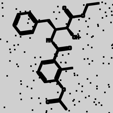 CCOC(=O)[C@@H](O)[C@H](Cc1ccccc1)NC(=O)c1cccc(OC(C)=O)c1C